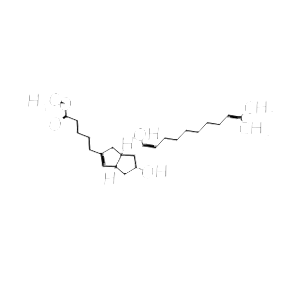 COC(=O)CCCCC1=C[C@@H]2C[C@H](O)[C@@H](C(O)=CCCCCCCC=C(C)C)[C@@H]2C1